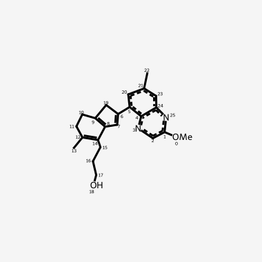 COc1cnc2c(C3=CC4=C(CCC(C)=C4CCCO)C3)cc(C)cc2n1